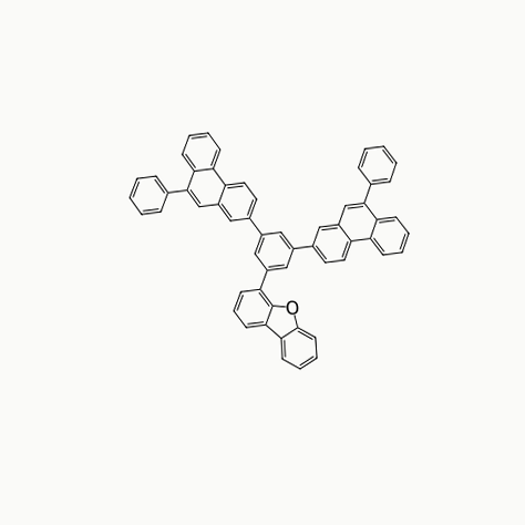 c1ccc(-c2cc3cc(-c4cc(-c5ccc6c(c5)cc(-c5ccccc5)c5ccccc56)cc(-c5cccc6c5oc5ccccc56)c4)ccc3c3ccccc23)cc1